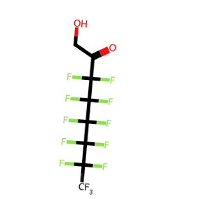 O=C(CO)C(F)(F)C(F)(F)C(F)(F)C(F)(F)C(F)(F)C(F)(F)F